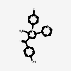 Nc1c(C(=O)c2ccc(O)cc2)cc(-c2cccnc2)n1-c1ccc(F)cc1